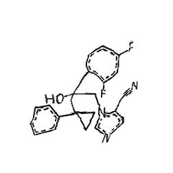 N#Cc1cncn1CC(O)(Cc1ccc(F)cc1F)C1(c2ccccc2)CC1